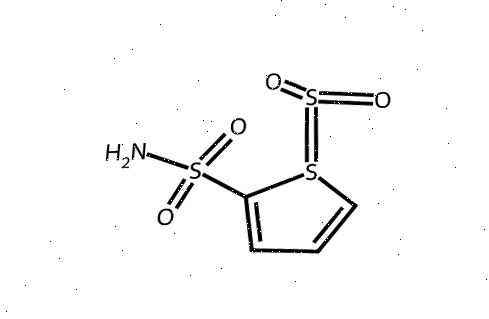 NS(=O)(=O)C1=CC=CS1=S(=O)=O